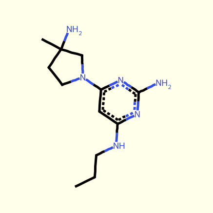 CCCNc1cc(N2CCC(C)(N)C2)nc(N)n1